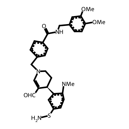 CNc1ccc(SN)cc1[C@@H]1CCN(Cc2ccc(C(=O)NCc3ccc(OC)c(OC)c3)cc2)C=C1C=O